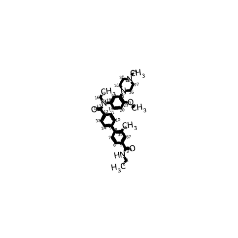 CCNC(=O)c1ccc(-c2ccc(C(=O)N(CC)c3ccc(OC)c(N4CCN(C)CC4)c3)cc2)c(C)c1